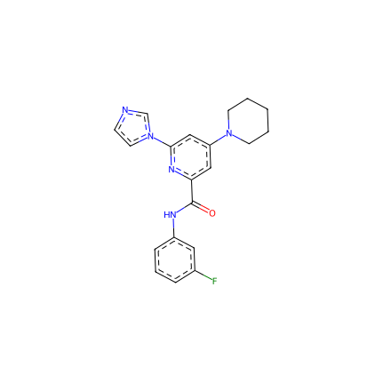 O=C(Nc1cccc(F)c1)c1cc(N2CCCCC2)cc(-n2ccnc2)n1